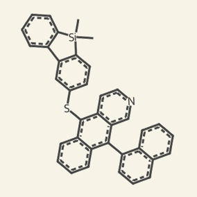 C[Si]1(C)c2ccccc2-c2cc(Sc3c4ccccc4c(-c4cccc5ccccc45)c4cnccc34)ccc21